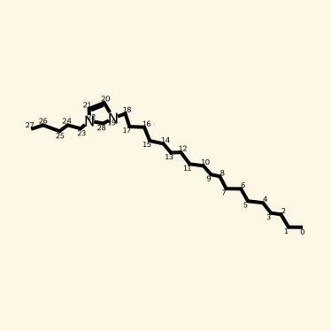 CCCCCCCCCCCCCCCCCCCN1C=CN(CCCCC)C1